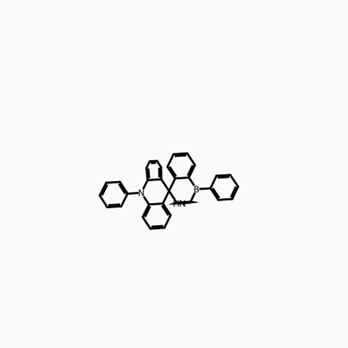 c1ccc(B2c3ccccc3C3(c4ccccc4N(c4ccccc4)c4ccccc43)C3CCNCC23)cc1